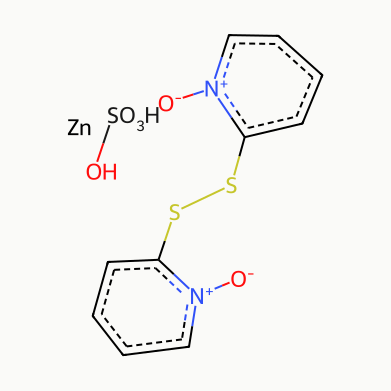 O=S(=O)(O)O.[O-][n+]1ccccc1SSc1cccc[n+]1[O-].[Zn]